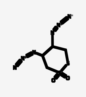 [N-]=[N+]=NC1CSS(=O)(=O)CC1N=[N+]=[N-]